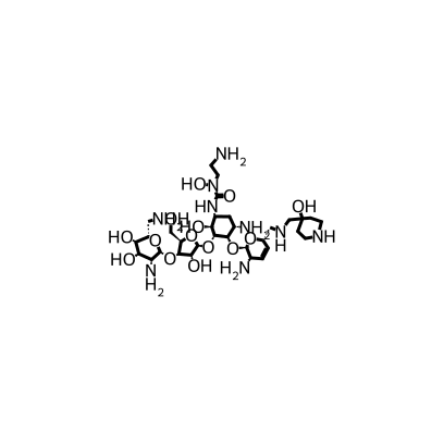 NCCN(O)C(=O)N[C@@H]1C[C@H](N)[C@@H](O[C@H]2O[C@H](CNCC3(O)CCNCC3)C=C[C@H]2N)[C@H](O[C@@H]2O[C@H](CO)[C@@H](O[C@H]3O[C@@H](CN)[C@@H](O)[C@H](O)[C@H]3N)[C@H]2O)[C@H]1O